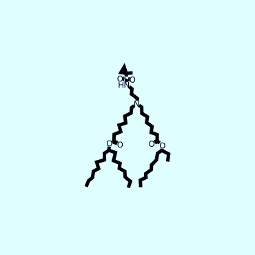 CCCCCCCCC(CC)OC(=O)CCCCCCCN(CCCCCCCC(=O)OC(CCCCCCCC)CCCCCCCC)CCCNS(=O)(=O)C1(C)CC1